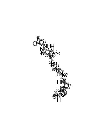 C=CC(=O)Nc1cc2c(Nc3ccc(F)c(Cl)c3)ncnc2cc1OCCCN1CCC(N2CCN(C(=O)CCNc3cccc4c3CN(C3CCC(=O)NC3=O)C4=O)CC2)CC1